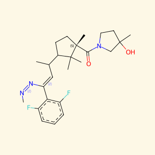 C/N=N\C(=C/C(C)C1CC[C@](C)(C(=O)N2CCC(C)(O)C2)C1(C)C)c1c(F)cccc1F